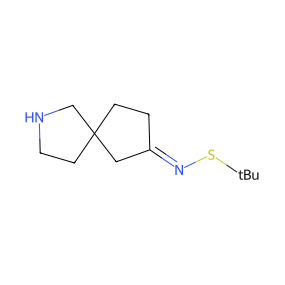 CC(C)(C)S/N=C1\CCC2(CCNC2)C1